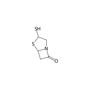 O=C1CC2SC(S)CN12